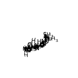 Cc1cc(C(=O)Nc2cc(-c3nsc(Nc4ccc5[nH]ncc5c4Cl)n3)ccn2)n(C)n1